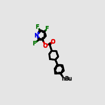 CCCCc1ccc(C2CCC(C(=O)Oc3cc(F)c(F)nc3F)CC2)cc1